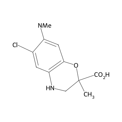 CNc1cc2c(cc1Cl)NCC(C)(C(=O)O)O2